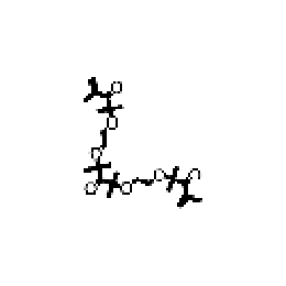 C=C(C)C(=O)C(C)(C)OCCOC(C)(C)C(=O)C(C)(C)OCCOC(C)(C)C(=O)C(=C)C